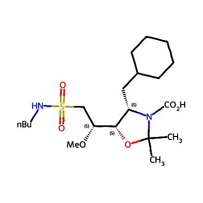 CCCCNS(=O)(=O)C[C@@H](OC)[C@H]1OC(C)(C)N(C(=O)O)[C@H]1CC1CCCCC1